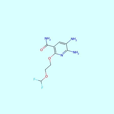 NC(=O)c1cc(N)c(N)nc1OCCOC(F)F